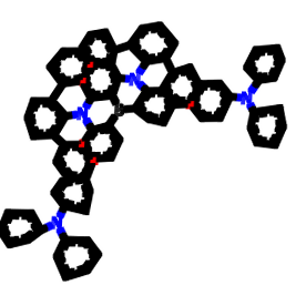 c1ccc(-c2cccc(-c3ccccc3)c2N2c3cc(-c4ccc(N(c5ccccc5)c5ccccc5)cc4)ccc3B3c4ccc(-c5ccc(N(c6ccccc6)c6ccccc6)cc5)cc4N(c4c(-c5ccccc5)cccc4-c4ccccc4)c4cccc2c43)cc1